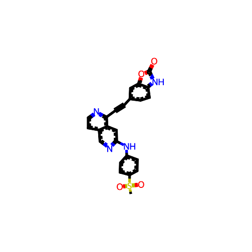 CS(=O)(=O)c1ccc(Nc2cc3c(C#Cc4ccc5[nH]c(=O)oc5c4)nccc3cn2)cc1